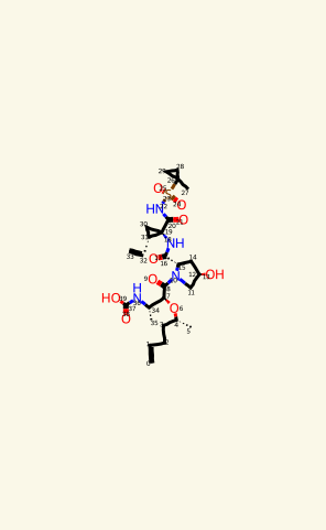 C=CCC[C@@H](C)O[C@H](C(=O)N1C[C@H](O)C[C@H]1C(=O)N[C@]1(C(=O)NS(=O)(=O)C2(C)CC2)C[C@H]1C=C)[C@H](C)NC(=O)O